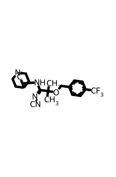 CC(C)(OCc1ccc(C(F)(F)F)cc1)C(=NC#N)NC1CN2CCC1CC2